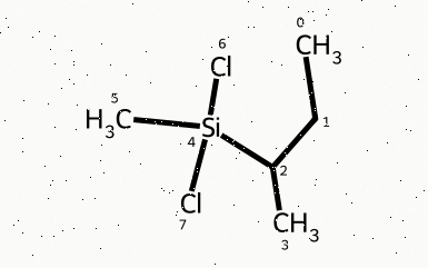 CCC(C)[Si](C)(Cl)Cl